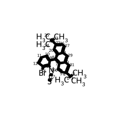 CC(C)(C)c1ccc2c(-c3cccc(Br)c3N=C=S)c3cc(C(C)(C)C)ccc3cc2c1